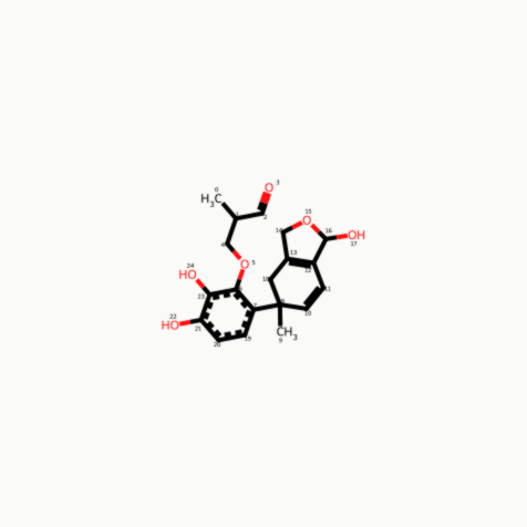 CC(C=O)COc1c(C2(C)C=CC3=C(COC3O)C2)ccc(O)c1O